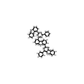 c1ccc(-c2nc(-c3cccc4sc5ccccc5c34)nc(-c3cccc4sc5c(-c6nc(-c7ccccc7)c7oc8ccccc8c7n6)cccc5c34)n2)cc1